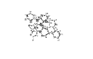 C=CCC1(CC)c2ccc(-c3ccccc3C3CCCCC3)cc2N2c3nccnc3N(c3ccccc3)C2C1(C)CC